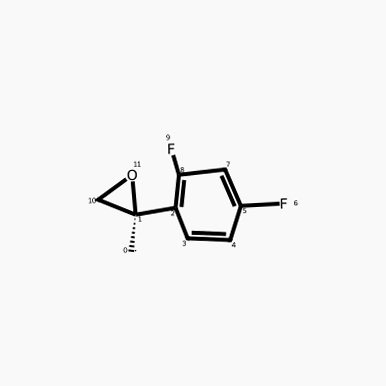 [CH2][C@]1(c2ccc(F)cc2F)CO1